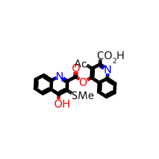 CSc1c(C(=O)Oc2c(C(C)=O)c(C(=O)O)nc3ccccc23)nc2ccccc2c1O